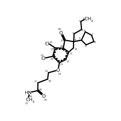 CCCCC1(C2CCCC2)Cc2cc(OCCCC(=O)NC)c(Cl)c(Cl)c2C1=O